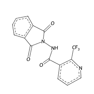 O=C(NN1C(=O)c2ccccc2C1=O)c1cccnc1C(F)(F)F